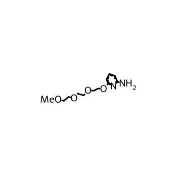 COCCOCCOCCOc1cccc(N)n1